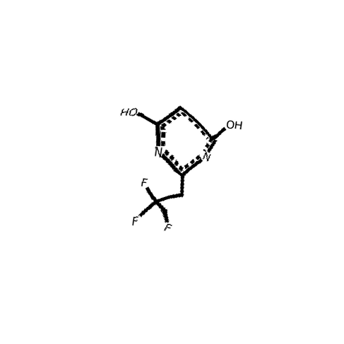 Oc1cc(O)nc(CC(F)(F)F)n1